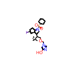 C[Si](C)(C)C(COCn1cnc(O)c1)c1cn(S(=O)(=O)c2ccccc2)c2ccc(I)cc12